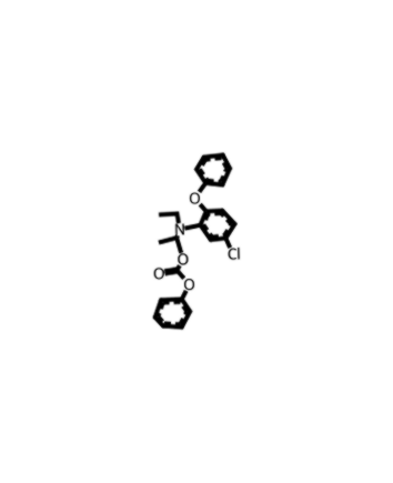 CCN(c1cc(Cl)ccc1Oc1ccccc1)C(C)OC(=O)Oc1ccccc1